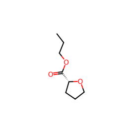 CCCOC(=O)[C@H]1CCCO1